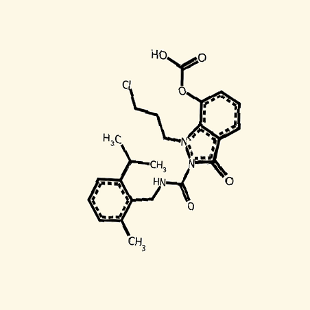 Cc1cccc(C(C)C)c1CNC(=O)n1c(=O)c2cccc(OC(=O)O)c2n1CCCCl